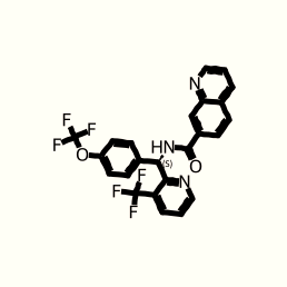 O=C(N[C@@H](c1ccc(OC(F)(F)F)cc1)c1ncccc1C(F)(F)F)c1ccc2cccnc2c1